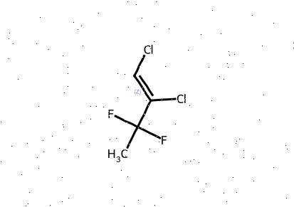 CC(F)(F)/C(Cl)=C/Cl